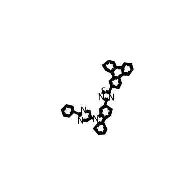 c1ccc(-c2ncc(-n3c4ccccc4c4ccc(-c5nsc(-c6ccc7c8ccccc8c8ccccc8c7c6)n5)cc43)cn2)cc1